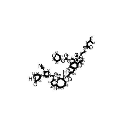 CC(C)CC(=O)SCCOP(=O)(OCOC(=O)OC1CCOCC1)C(F)(F)c1ccc2sc(C(=O)N[C@H]3CCCC[C@H]4CC[C@@H](C(=O)N5C[C@H](c6cc[nH]c(=O)c6)[C@@H](C#N)C5)N4C3=O)cc2c1